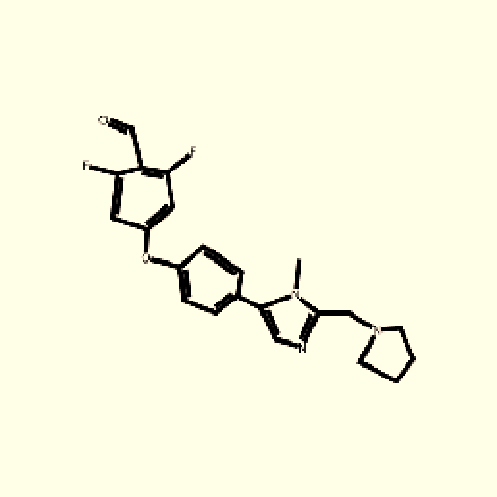 Cn1c(-c2ccc(Oc3cc(F)c(C=O)c(F)c3)cc2)cnc1CN1CCCC1